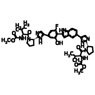 COC(=O)N[C@H](C(=O)N1CCC[C@H]1c1ncc(-c2cc(O)c(-c3cc4cc(-c5cnc([C@@H]6CCCN6C(=O)[C@@H](NC(=O)OC)C(C)C)[nH]5)ccc4[nH]3)c(F)c2)[nH]1)C(C)C